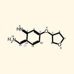 N=C1C=C(OC2CCOC2)C=C/C1=C/N